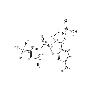 COc1ccc(C2CN(C(=O)O)CCC2N(C)C(=O)c2cc(Br)cc(C(F)(F)F)c2)cc1